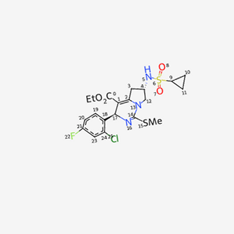 CCOC(=O)C1=C2C[C@H](NS(=O)(=O)C3CC3)CN2C(SC)=N[C@H]1c1ccc(F)cc1Cl